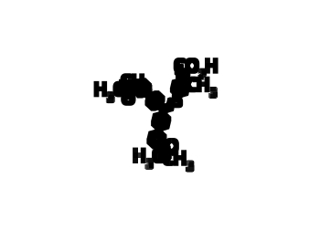 Cc1cc(SCC=C(c2ccc(-c3cccc(C(=O)N(C)C)c3)cc2)c2ccc(-c3cccc(C(=O)N(C)C)c3)cc2)ccc1OCC(=O)O